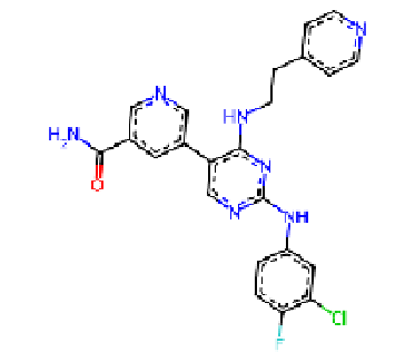 NC(=O)c1cncc(-c2cnc(Nc3ccc(F)c(Cl)c3)nc2NCCc2ccncc2)c1